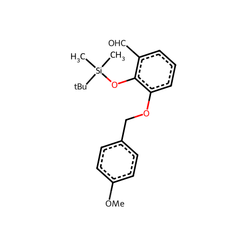 COc1ccc(COc2cccc(C=O)c2O[Si](C)(C)C(C)(C)C)cc1